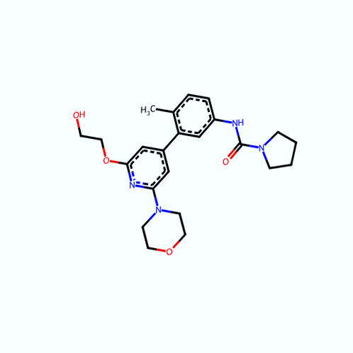 Cc1ccc(NC(=O)N2CCCC2)cc1-c1cc(OCCO)nc(N2CCOCC2)c1